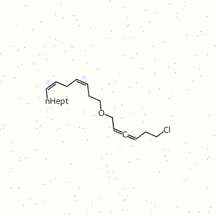 CCCCCCC/C=C\C/C=C\CCOCC=C=CCCCl